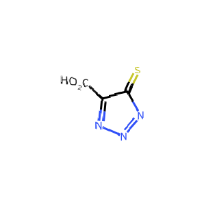 O=C(O)C1=NN=NC1=S